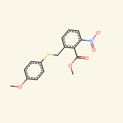 COC(=O)c1c(CSc2ccc(OC)cc2)cccc1[N+](=O)[O-]